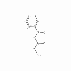 NCC(Cl)C[S+]([O-])c1ncccn1